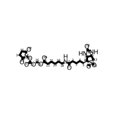 O=C(CCCC[C@H]1C2NC(=O)NC2CS1(=O)=O)NCCCCCC(=O)OCOC(=O)ON1C(=O)CCC1=O